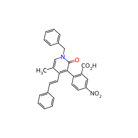 Cc1cn(Cc2ccccc2)c(=O)c(-c2ccc([N+](=O)[O-])cc2C(=O)O)c1/C=C/c1ccccc1